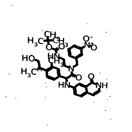 Cc1cc(C(Nc2ccc3cc[nH]c(=O)c3c2)C(=O)N(CCNC(=O)OC(C)(C)C)Cc2cccc([N+](=O)[O-])c2)ccc1[C@@H](C)CO